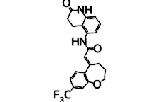 O=C(/C=C1\CCCOc2cc(C(F)(F)F)ccc21)Nc1cccc2c1CCC(=O)N2